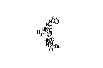 CC(NC(=O)c1cc(-c2cccnc2F)ncn1)c1ncc(C(=O)Nc2ncc(Cl)c(C(C)(C)C)n2)s1